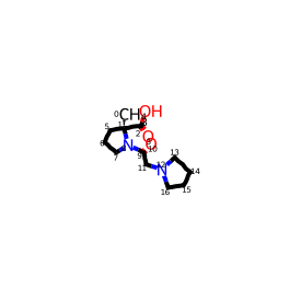 C[C@@]1(C(=O)O)CCCN1C(=O)CN1CCCC1